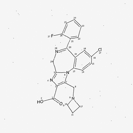 O=C(O)c1nc2n(c1CN1CCC1)-c1ccc(Cl)cc1C(c1ccccc1F)=NC2